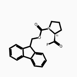 O=C(F)[C@@H]1CCCN1C(=O)OCC1c2ccccc2-c2ccccc21